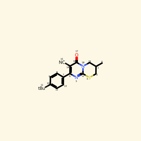 CC1CSc2nc(-c3ccc(C(C)(C)C)cc3)c(C#N)c(=O)n2C1